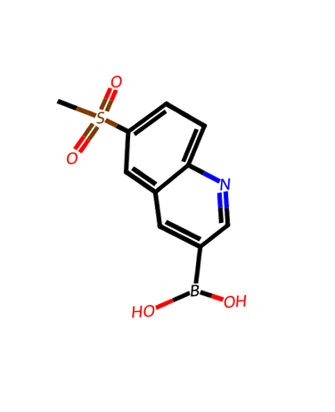 CS(=O)(=O)c1ccc2ncc(B(O)O)cc2c1